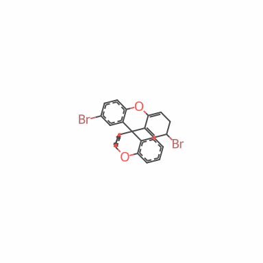 Brc1ccc2c(c1)C1(C3=CC(Br)CC=C3O2)c2ccccc2Oc2ccccc21